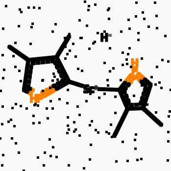 Cc1c[pH][c]([Sc+][c]2[pH]cc(C)c2C)c1C.[H-]